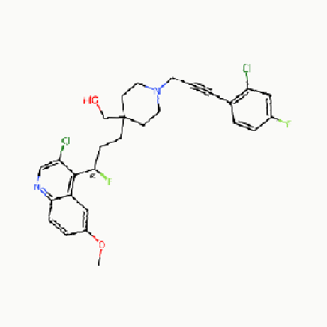 COc1ccc2ncc(Cl)c([C@H](F)CCC3(CO)CCN(CC#Cc4ccc(F)cc4Cl)CC3)c2c1